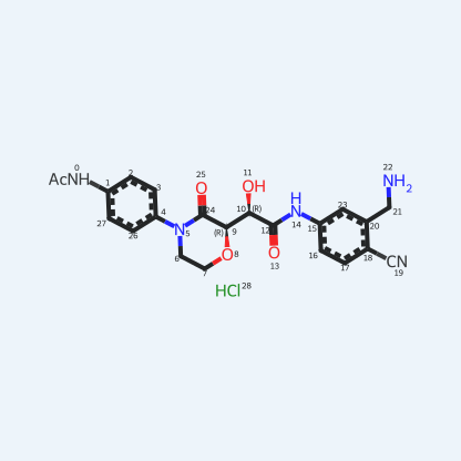 CC(=O)Nc1ccc(N2CCO[C@H]([C@@H](O)C(=O)Nc3ccc(C#N)c(CN)c3)C2=O)cc1.Cl